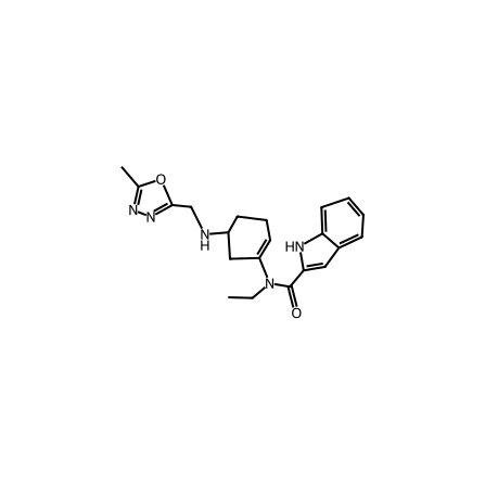 CCN(C(=O)c1cc2ccccc2[nH]1)C1=CCCC(NCc2nnc(C)o2)C1